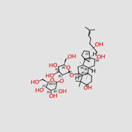 CC(C)=CCCC(C)(O)[C@H]1CC[C@]2(C)[C@@H]1[C@H](O)C[C@@H]1[C@@]3(C)CC[C@H](O)C(C)(C)[C@@H]3[C@@H](O[C@@H]3O[C@H](CO)[C@@H](O)[C@H](O)[C@H]3O[C@@H]3O[C@H](CO)[C@@H](O)[C@H](O)[C@H]3O)C[C@]12C